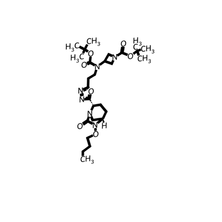 CCCCON1C(=O)N2C[C@@H]1CC[C@H]2c1nnc(CCN(C(=O)OC(C)(C)C)C2CN(C(=O)OC(C)(C)C)C2)o1